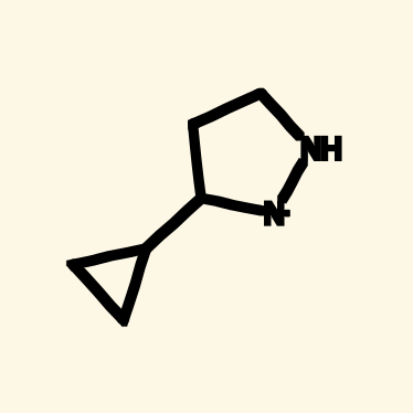 C1CC(C2CC2)[N]N1